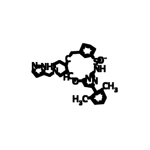 Cc1cccc(C)c1-c1cc2nc(n1)N[S+]([O-])c1cccc(c1)CCC1CCN(Cc3ccn[nH]3)C[C@@H]1CO2